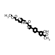 CCOC(=O)Cc1ccc(CNC(=O)c2cc(-c3ccc(-c4ccc(C(C)=O)c(O)c4)cc3)cs2)cc1